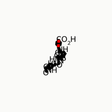 O=C1COc2ccc(CNC(=O)c3nc4sc5c(c4c(=O)[nH]3)C(C(=O)NCC34CCC(C(=O)O)(CC3)CC4)CC5)cc2N1